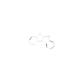 C1=CC2NC3Nc4ccccc4N3C2CC1